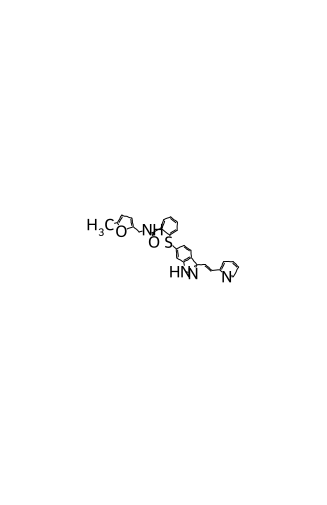 Cc1ccc(CNC(=O)c2ccccc2Sc2ccc3c(/C=C/c4ccccn4)n[nH]c3c2)o1